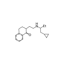 CCC(CC1CC1)NCCC1CCc2ccccc2C1=O